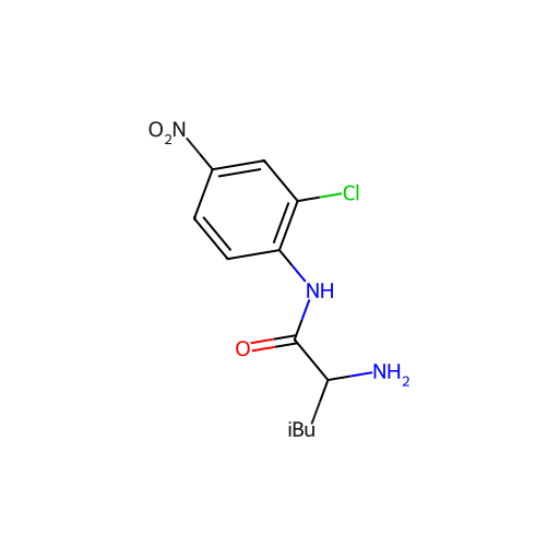 CCC(C)C(N)C(=O)Nc1ccc([N+](=O)[O-])cc1Cl